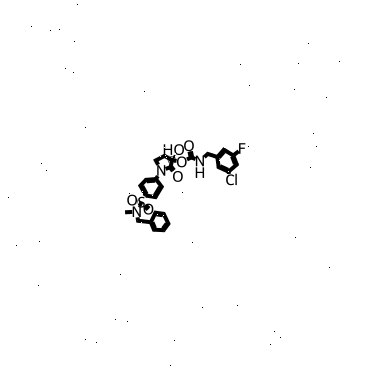 CN(Cc1ccccc1)S(=O)(=O)c1ccc(N2CC[C@](O)(OC(=O)NCc3cc(F)cc(Cl)c3)C2=O)cc1